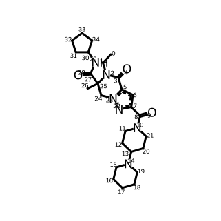 CCN1C(=O)c2cc(C(=O)N3CCC(N4CCCCC4)CC3)nn2CC1(C)C(=O)NC1CCCC1